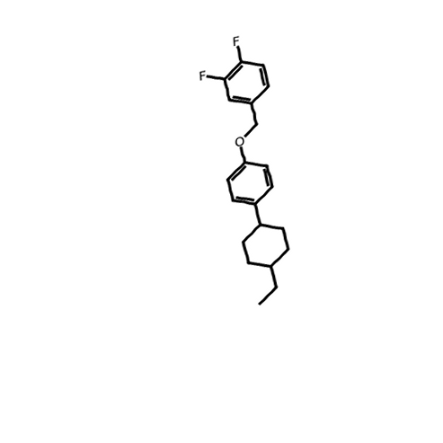 CCC1CCC(c2ccc(OCc3ccc(F)c(F)c3)cc2)CC1